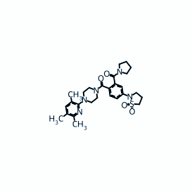 Cc1cc(C)c(N2CCN(C(=O)c3ccc(N4CCCS4(=O)=O)cc3C(=O)N3CCCC3)CC2)nc1C